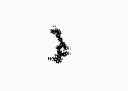 CCc1c(F)ccc2cc(O)cc(-c3ncc4c(N5CCC[C@@](C)(O)C5)nc(OC[C@@]56CCCN5[C@H](CC5C(N7CCC(c8ccc9c(c8)n(C)c(=O)n9C8CCC(=O)NC8=O)CC7)CC57CCN(C(=O)O)CC7)CC6)nc4c3F)c12